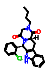 CCCCN1CC(=O)N2[C@@H](c3ccccc3Cl)c3[nH]c4ccccc4c3C[C@@H]2C1=O